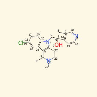 CC1c2c(n(CC3(O)Cc4cnccc43)c3ccc(Cl)cc23)CCN1C